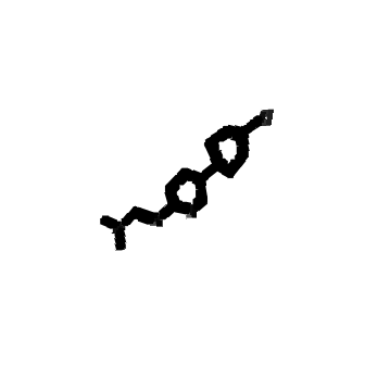 CN(C)C=Nc1ccc(-c2ccc(Cl)cc2)cn1